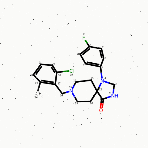 O=C1NCN(c2ccc(F)cc2)C12CCN(Cc1c(Cl)cccc1C(F)(F)F)CC2